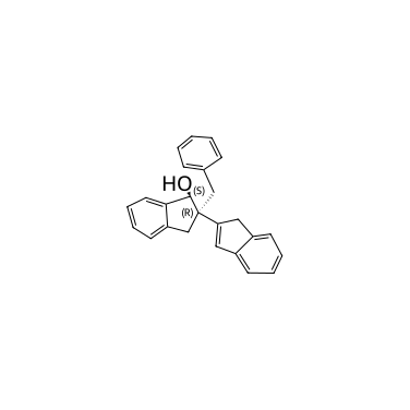 O[C@@H]1c2ccccc2C[C@]1(Cc1ccccc1)C1=Cc2ccccc2C1